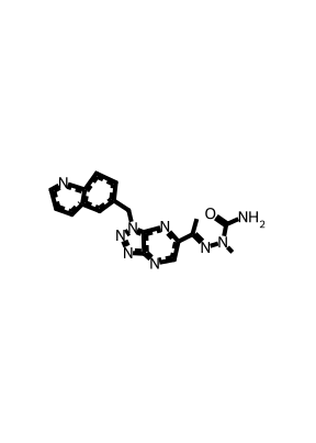 C/C(=N\N(C)C(N)=O)c1cnc2nnn(Cc3ccc4ncccc4c3)c2n1